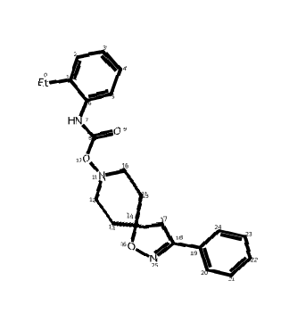 CCc1ccccc1NC(=O)ON1CCC2(CC1)CC(c1ccccc1)=NO2